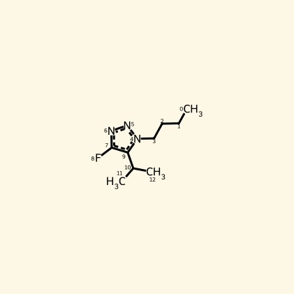 CCCCn1nnc(F)c1C(C)C